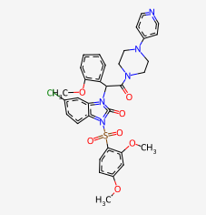 COc1ccc(S(=O)(=O)n2c(=O)n(C(C(=O)N3CCN(c4ccncc4)CC3)c3ccccc3OC)c3cc(Cl)ccc32)c(OC)c1